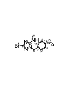 CNc1nc(Br)nn1Cc1ccc(OC)cc1